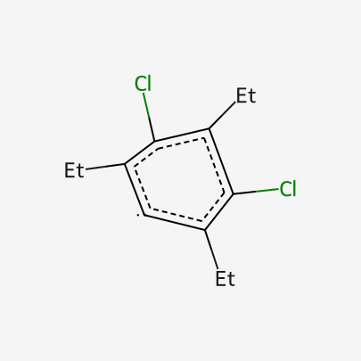 CCc1[c]c(CC)c(Cl)c(CC)c1Cl